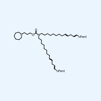 CCCCCC=CCC=CCCCCCCCCN(CCCCCCCCC=CCC=CCCCCC)C(=O)OCCCN1CCCCCC1